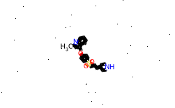 Cc1cc(COc2ccc(S(=O)(=O)C=CC=C3CCNCC3)cc2)c2ccccc2n1